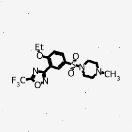 CCOc1ccc(S(=O)(=O)N2CCN(C)CC2)cc1-c1noc(C(F)(F)F)n1